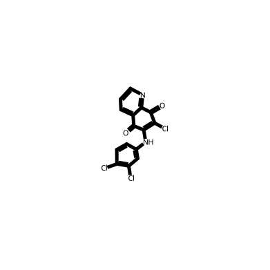 O=C1C(Nc2ccc(Cl)c(Cl)c2)=C(Cl)C(=O)c2ncccc21